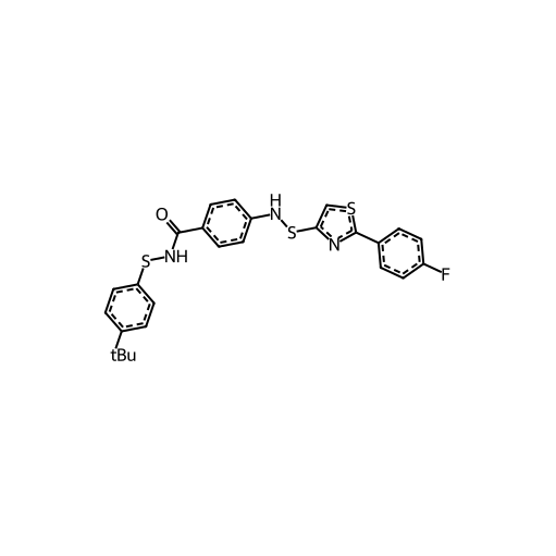 CC(C)(C)c1ccc(SNC(=O)c2ccc(NSc3csc(-c4ccc(F)cc4)n3)cc2)cc1